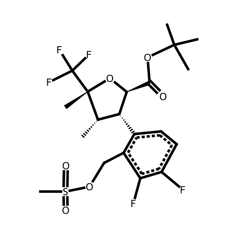 C[C@H]1[C@@H](c2ccc(F)c(F)c2COS(C)(=O)=O)[C@H](C(=O)OC(C)(C)C)O[C@@]1(C)C(F)(F)F